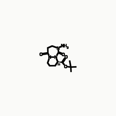 CC(C)(C)OC(=O)[C@@H]1CCCN2C(=O)CCN(N)C(=O)N12